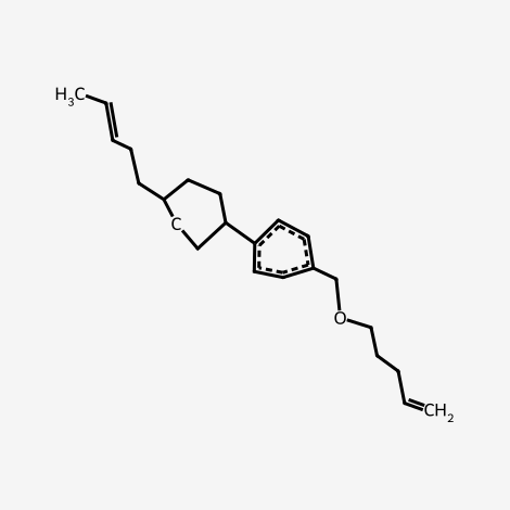 C=CCCCOCc1ccc(C2CCC(CCC=CC)CC2)cc1